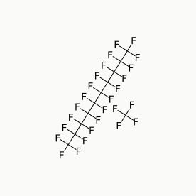 FC(F)(F)C(F)(F)C(F)(F)C(F)(F)C(F)(F)C(F)(F)C(F)(F)C(F)(F)C(F)(F)C(F)(F)F.FC(F)(F)F